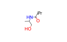 CC(CO)NC(=O)C(C)C